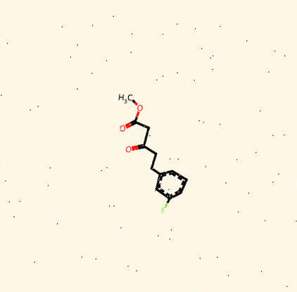 COC(=O)CC(=O)CCc1cccc(F)c1